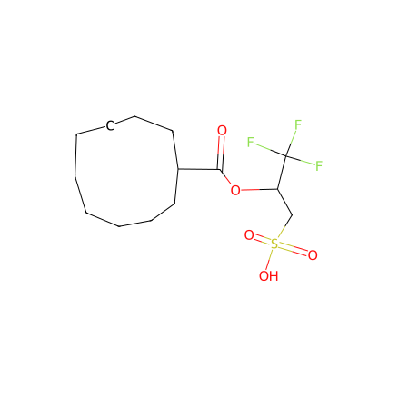 O=C(OC(CS(=O)(=O)O)C(F)(F)F)C1CCCCCCCCC1